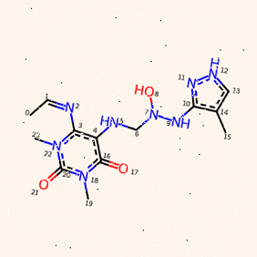 C/C=N\c1c(NCN(O)Nc2n[nH]cc2C)c(=O)n(C)c(=O)n1C